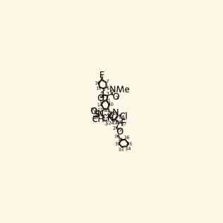 CNC(=O)c1c(-c2ccc(F)cc2)oc2cc(N(C)[S+](C)[O-])c(-c3ccc(C(F)COCc4ccccc4)c(Cl)n3)cc12